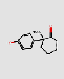 O=C(O)C1(c2ccc(O)cc2)CCCCC1=O